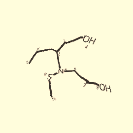 CCC(CO)N(CCO)SC